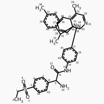 CCS(=O)(=O)c1ccc(C(N)C(=O)Nc2ccc(C3N=C4N=CC(C)=C5C=CC=CC45N3C(C)c3ccc(C)cc3)cc2)cc1